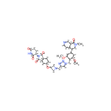 COc1cc(-c2cn(C)c(=O)c3cnccc23)cc(OC)c1Cn1cc(CN2CC(Oc3ccc4c(c3)C(=O)N(C3CCC(=O)NC3=O)C4=O)C2)nn1